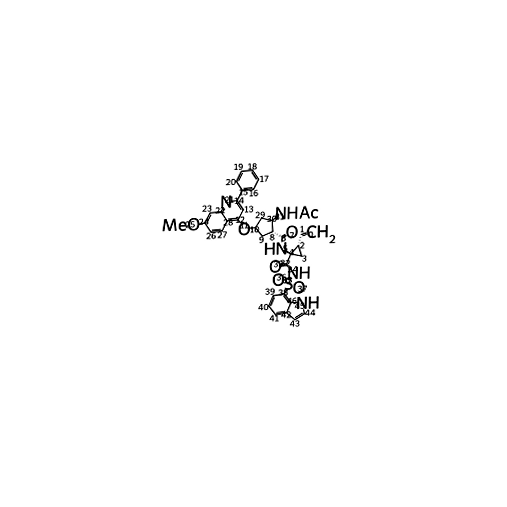 C=C[C@@H]1C[C@]1(NC(=O)[C@@H]1C[C@@H](Oc2cc(-c3ccccc3)nc3cc(OC)ccc23)CC1NC(C)=O)C(=O)NS(=O)(=O)c1cccc2cc[nH]c12